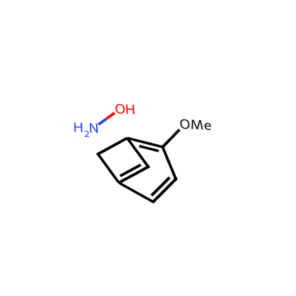 COc1ccc2cc1C2.NO